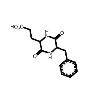 O=C(O)CCC1NC(=O)C(Cc2ccccc2)NC1=O